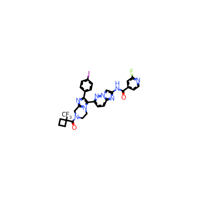 O=C(Nc1cn2nc(-c3c(-c4ccc(I)cc4)nc4n3CCN(C(=O)C3(C(F)(F)F)CCC3)C4)ccc2n1)c1ccnc(F)c1